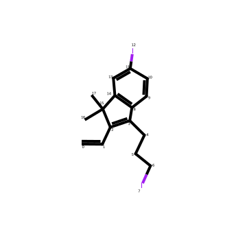 C=CC1=C(CCCI)c2ccc(I)cc2C1(C)C